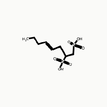 CCCC=CCC(CS(=O)(=O)O)S(=O)(=O)O